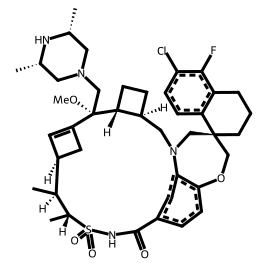 CO[C@@]1(CN2C[C@@H](C)N[C@@H](C)C2)C2=C[C@@H](C2)[C@H](C)[C@@H](C)S(=O)(=O)NC(=O)c2ccc3c(c2)N(C[C@@H]2CC[C@H]21)C[C@@]1(CCCc2c1ccc(Cl)c2F)CO3